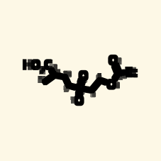 CCC(=O)OCCS(=O)(=O)CCC(C)C(=O)O